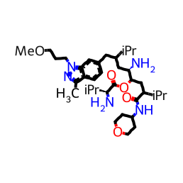 COCCCn1nc(C)c2ccc(CC(C[C@H](N)C(CC(C(=O)NC3CCOCC3)C(C)C)OC(=O)[C@@H](N)C(C)C)C(C)C)cc21